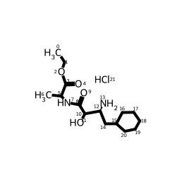 CCOC(=O)C(C)NC(=O)C(O)[C@H](N)CC1CCCCC1.Cl